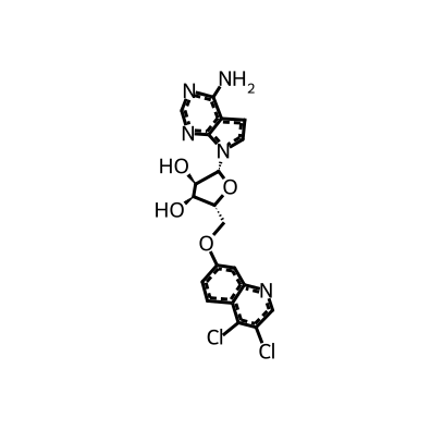 Nc1ncnc2c1ccn2[C@@H]1O[C@H](COc2ccc3c(Cl)c(Cl)cnc3c2)[C@@H](O)[C@H]1O